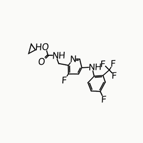 C1CC1.O=C(O)NCc1ncc(Nc2ccc(F)cc2C(F)(F)F)cc1F